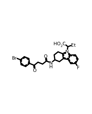 CCC(C(=O)O)n1c2c(c3cc(F)ccc31)CC(NC(=O)CCC(=O)c1ccc(Br)cc1)CC2